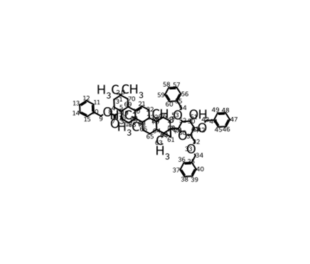 CC1(C)CC[C@]2(C(=O)OCc3ccccc3)CC[C@]3(C)C(=CCC4[C@@]5(C)CC[C@@]6([C@@H]7OC(COCc8ccccc8)[C@@H](OCc8ccccc8)C(O)C7OCc7ccccc7)C[C@]6(C)C5CC[C@]43C)C2C1